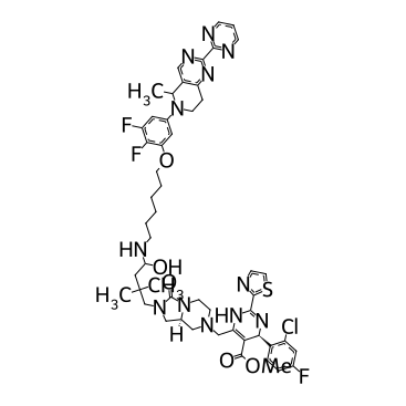 COC(=O)C1=C(CN2CCN3C(=O)N(CC(C)(C)CC(O)NCCCCCCOc4cc(N5CCc6nc(-c7ncccn7)ncc6C5C)cc(F)c4F)C[C@@H]3C2)NC(c2nccs2)=N[C@H]1c1ccc(F)cc1Cl